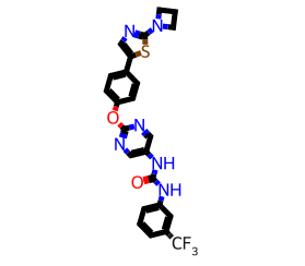 O=C(Nc1cnc(Oc2ccc(-c3cnc(N4CCC4)s3)cc2)nc1)Nc1cccc(C(F)(F)F)c1